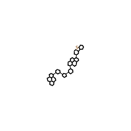 c1cc(-c2cccc(-c3ccc4ccc5cccc6ccc3c4c56)c2)cc(-c2cccc(-c3ccc4ccc5c(-c6ccc7sc8ccccc8c7c6)ccc6ccc3c4c65)c2)c1